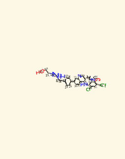 COc1cc(Nc2c(C#N)cnc3cc(-c4ccc(CNCCO)cc4)ccc23)c(Cl)cc1Cl